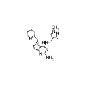 Cn1cc(CNc2nc(N)nc3ccn(Cc4ccccn4)c23)nn1